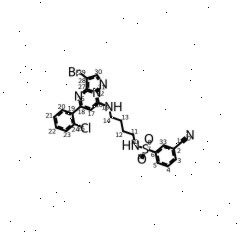 N#Cc1cccc(S(=O)(=O)NCCCCNc2cc(-c3ccccc3Cl)nc3c(Br)cnn23)c1